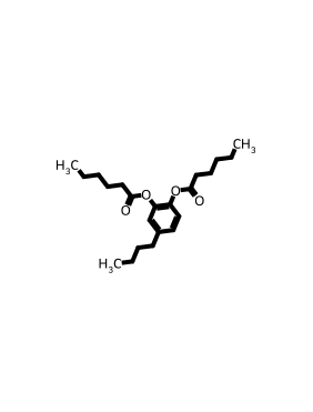 CCCCCC(=O)Oc1ccc(CCCC)cc1OC(=O)CCCCC